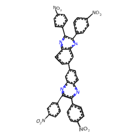 O=[N+]([O-])c1ccc(-c2nc3ccc(-c4ccc5nc(-c6ccc([N+](=O)[O-])cc6)c(-c6ccc([N+](=O)[O-])cc6)nc5c4)cc3nc2-c2ccc([N+](=O)[O-])cc2)cc1